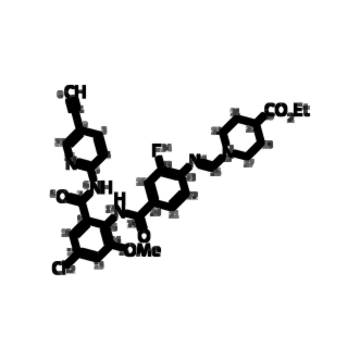 C#Cc1ccc(NC(=O)c2cc(Cl)cc(OC)c2NC(=O)c2ccc(N=CN3CCC(C(=O)OCC)CC3)c(F)c2)nc1